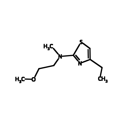 CCc1csc(N(C)CCOC)n1